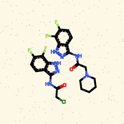 O=C(CCl)Nc1n[nH]c2c(F)c(F)ccc12.O=C(CN1CCCCC1)Nc1n[nH]c2c(F)c(F)ccc12